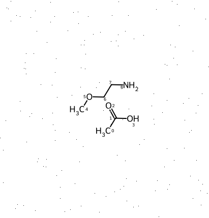 CC(=O)O.COCCN